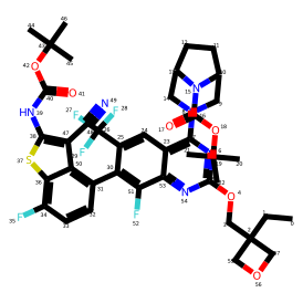 CCC1(COc2nc(N3CC4CCC(C3)N4C(=O)OC(C)(C)C)c3cc(C(F)(F)F)c(-c4ccc(F)c5sc(NC(=O)OC(C)(C)C)c(C#N)c45)c(F)c3n2)COC1